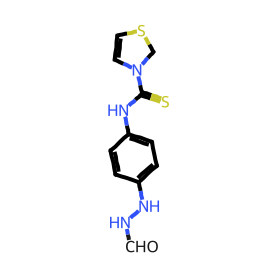 O=CNNc1ccc(NC(=S)N2C=CSC2)cc1